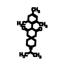 CC1=CC(C)=C(C2C(=O)CC3(CCN(C(C)C)CC3)CC2=O)C(C)C1